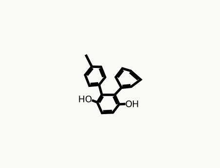 Cc1ccc(-c2c(O)ccc(O)c2-c2ccccc2)cc1